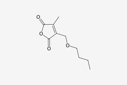 CCCCOCC1=C(C)C(=O)OC1=O